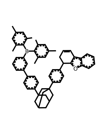 Cc1cc(C)c(B(c2cccc(-c3ccc(C45CC6CC(C4)CC(c4ccc(C7CC=Cc8c7oc7ccccc87)cc4)(C6)C5)cc3)c2)c2c(C)cc(C)cc2C)c(C)c1